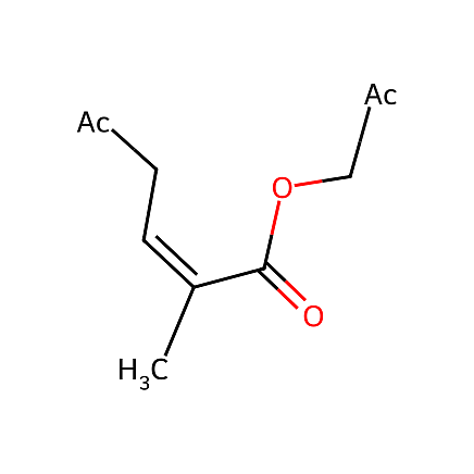 CC(=O)CC=C(C)C(=O)OCC(C)=O